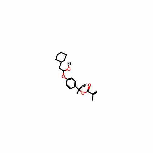 C=C(C)C(=O)OC(C)(CCC)c1ccc(OC(CC2CCCCC2)OCC)cc1